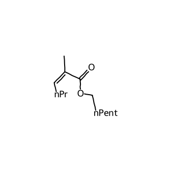 CCCC=C(C)C(=O)OCCCCCC